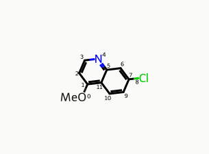 [CH2-][OH+]c1ccnc2cc(Cl)ccc12